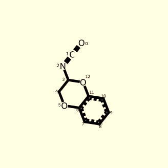 O=C=NC1COc2c[c]ccc2O1